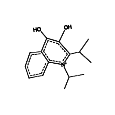 CC(C)c1c(O)c(O)c2ccccc2[n+]1C(C)C